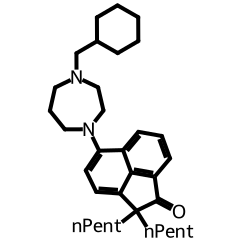 CCCCCC1(CCCCC)C(=O)c2cccc3c(N4CCCN(CC5CCCCC5)CC4)ccc1c23